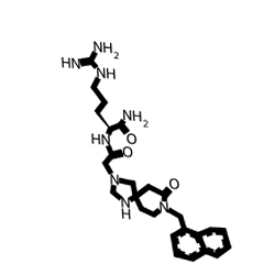 N=C(N)NCCC[C@H](NC(=O)CN1CNC2(CCN(Cc3cccc4ccccc34)C(=O)C2)C1)C(N)=O